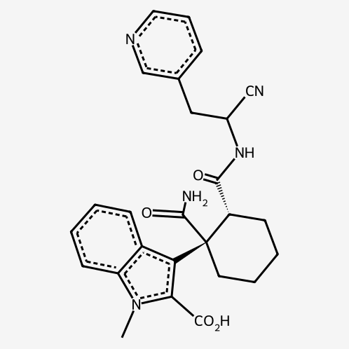 Cn1c(C(=O)O)c([C@]2(C(N)=O)CCCC[C@H]2C(=O)NC(C#N)Cc2cccnc2)c2ccccc21